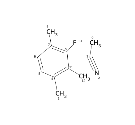 CC#N.Cc1ccc(C)c(F)c1C